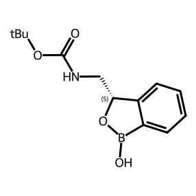 CC(C)(C)OC(=O)NC[C@H]1OB(O)c2ccccc21